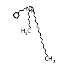 CCCCCCCCCCCCCCCCCCn1cc[n+](CCCc2ccccc2)c1CCCCCCC